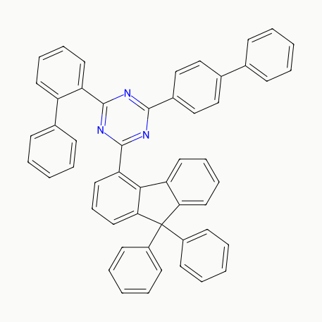 c1ccc(-c2ccc(-c3nc(-c4ccccc4-c4ccccc4)nc(-c4cccc5c4-c4ccccc4C5(c4ccccc4)c4ccccc4)n3)cc2)cc1